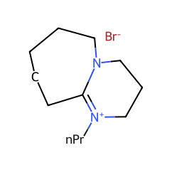 CCC[N+]1=C2CCCCCN2CCC1.[Br-]